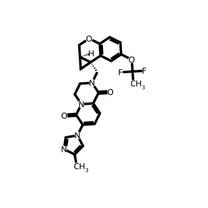 Cc1cn(-c2ccc3n(c2=O)CCN(C[C@]24C[C@H]2COc2ccc(OC(C)(F)F)cc24)C3=O)cn1